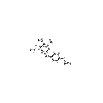 COCc1ccc(O[C@H]2C[C@@H](O)[C@@H](O)[C@@H](CO)O2)cc1